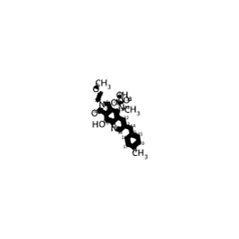 COCCN1Cc2c(c(O)c3ncc(Cc4ccc(C)cc4)cc3c2N(C)S(C)(=O)=O)C1=O